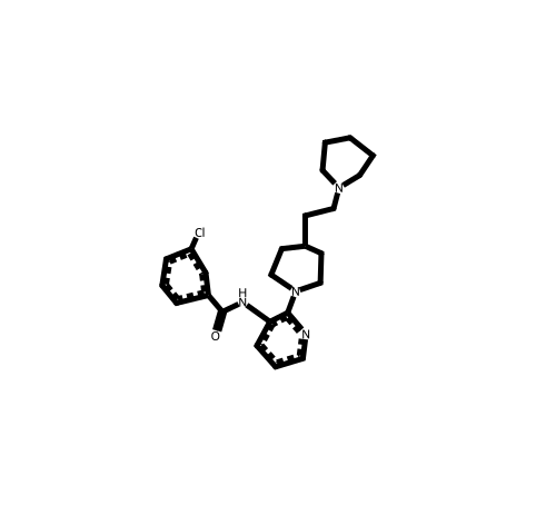 O=C(Nc1cccnc1N1CCC(CCN2CCCCC2)CC1)c1cccc(Cl)c1